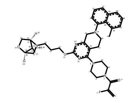 C=C(F)C(=O)N1CCN(c2nc(OCCCN3C[C@H]4OC[C@@H]3[C@H]4I)nc3c2CCN(c2cccc4cccc(C)c24)C3)CC1